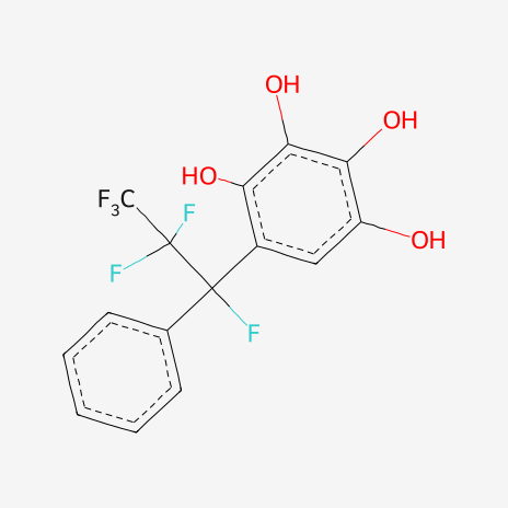 Oc1cc(C(F)(c2ccccc2)C(F)(F)C(F)(F)F)c(O)c(O)c1O